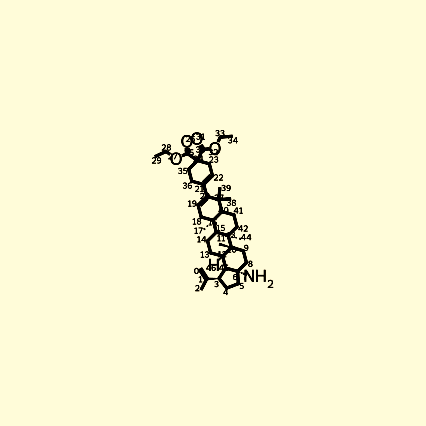 C=C(C)[C@@H]1CC[C@]2(N)CC[C@]3(C)[C@H](CCC4[C@@]5(C)CC=C(C6=CCC(C(=O)OCC)(C(=O)OCC)CC6)C(C)(C)C5CC[C@]43C)C12